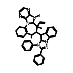 C=CC1(C)C(C2c3ccccc3N3N=C(c4ccccc4)N(c4ccccc4)C23)C(C)C2=C(CCC=C2)N2c3nccnc3N(I)C21